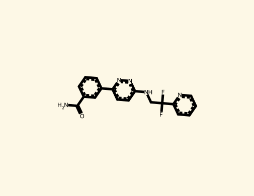 NC(=O)c1cccc(-c2ccc(NCC(F)(F)c3ccccn3)nn2)c1